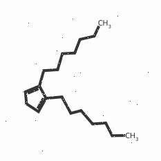 CCCCCCCC1=[C]CC=C1CCCCCCC